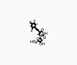 O=c1[nH]c(=O)n([C@H]2C[C@@H](O)[C@@H](CO)O2)cc1C#Cc1cc(I)c(I)cc1I